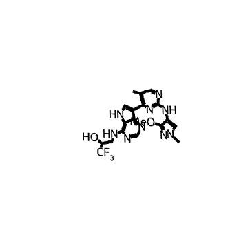 COc1nn(C)cc1Nc1ncc(C)c(-c2c[nH]c3c(NCC(O)C(F)(F)F)ncnc23)n1